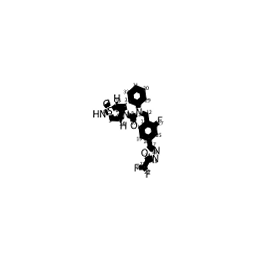 N=S1(=O)C[C@@H]2C[C@H]1CN2C(=O)N(Cc1ccc(-c2nnc(C(F)F)o2)cc1F)c1ccccc1